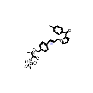 Cc1ccc(C(=O)c2cccn2C/C=C/c2ccc(CO[C@H](C)C(=O)NS(C)(=O)=O)cc2)cc1